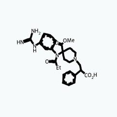 CCC(=O)N(c1cccc(NC(=N)N)c1)C1(C(=O)OC)CCN(CC(C(=O)O)c2ccccc2)CC1